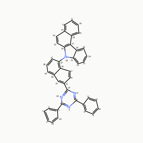 c1ccc(-c2nc(-c3ccccc3)nc(-c3ccc4c(-n5c6ccccc6c6c7ccccc7ccc65)cccc4c3)n2)cc1